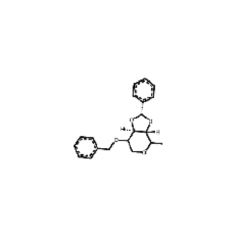 CC1OCC(OCc2ccccc2)[C@H]2O[C@H](c3ccccc3)O[C@H]12